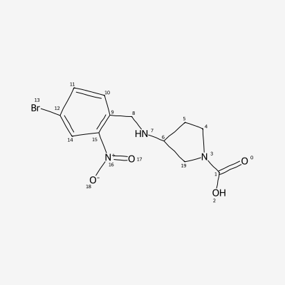 O=C(O)N1CCC(NCc2ccc(Br)cc2[N+](=O)[O-])C1